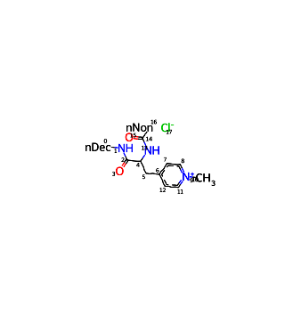 CCCCCCCCCCNC(=O)C(Cc1cc[n+](C)cc1)NC(=O)CCCCCCCCC.[Cl-]